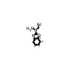 CC(=O)CN(N)c1nc2ccccc2o1